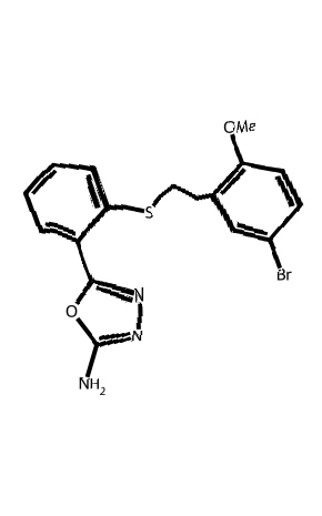 COc1ccc(Br)cc1CSc1ccccc1-c1nnc(N)o1